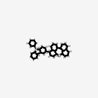 c1ccc(-n2c3ccccc3c3cc(-c4ccc5oc6cccc7cccc(c8cccc4c58)c76)ccc32)cc1